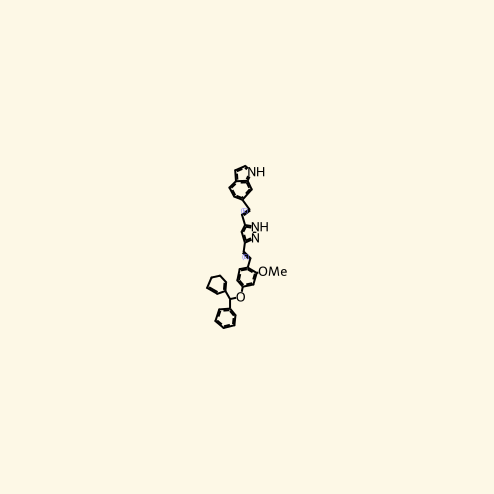 COc1cc(OC(C2=CCCC=C2)c2ccccc2)ccc1/C=C/c1cc(/C=C/c2ccc3cc[nH]c3c2)[nH]n1